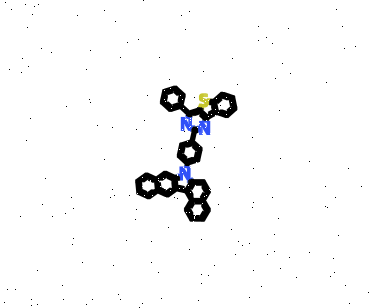 c1ccc(-c2nc(-c3ccc(-n4c5cc6ccccc6cc5c5c6ccccc6ccc54)cc3)nc3c2sc2ccccc23)cc1